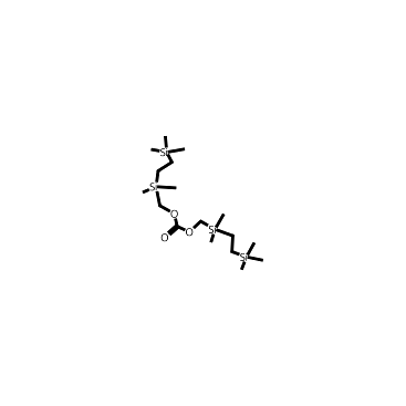 C[Si](C)(C)CC[Si](C)(C)COC(=O)OC[Si](C)(C)CC[Si](C)(C)C